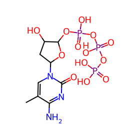 Cc1cn(C2CC(O)C(OP(=O)(O)OP(=O)(O)OP(=O)(O)O)O2)c(=O)nc1N